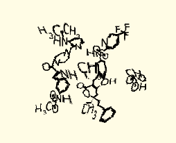 CC(C)Nc1cccnc1N1CCN(C(=O)c2cc3cc(NS(C)(=O)=O)ccc3[nH]2)CC1.CCC[C@@]1(CCc2ccccc2)CC(O)=C([C@H](CC)c2cccc(NS(=O)(=O)c3ccc(C(F)(F)F)cn3)c2)C(=O)O1.CS(=O)(=O)O